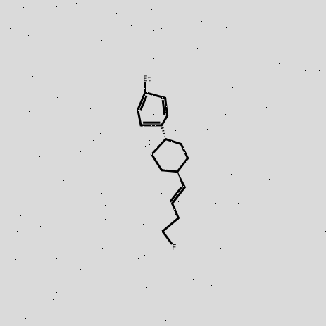 CCc1ccc([C@H]2CC[C@H](C=CCCF)CC2)cc1